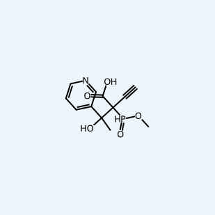 C#CC(C(=O)O)([PH](=O)OC)C(C)(O)c1cccnc1